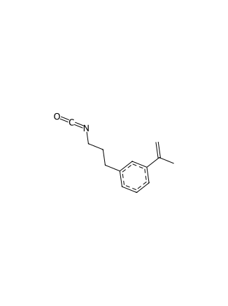 C=C(C)c1cccc(CCCN=C=O)c1